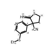 CCSc1cncc(C2(C#N)CCSC2=N)c1